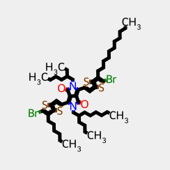 CCCCCCCCCCCc1c(Br)sc2cc(C3=C4C(=O)N(CC(CCCC)CCCCCC)C(c5cc6sc(Br)c(CCCCCC)c6s5)=C4C(=O)N3CC(CC)CCCC)sc12